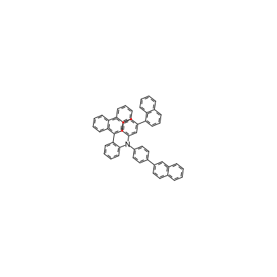 c1cc(-c2cccc3ccccc23)cc(N(c2ccc(-c3ccc4ccccc4c3)cc2)c2ccccc2-c2cc3ccccc3c3ccccc23)c1